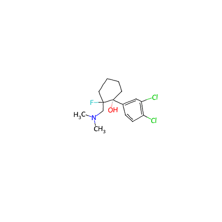 CN(C)CC1(F)CCCC[C@@]1(O)c1ccc(Cl)c(Cl)c1